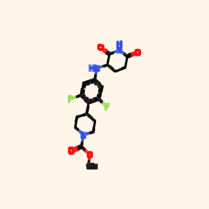 CC(C)(C)OC(=O)N1CCC(c2c(F)cc(NC3CCC(=O)NC3=O)cc2F)CC1